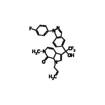 C=CCN1C=C(C(O)(c2ccc3c(cnn3-c3ccc(F)cc3)c2)C(F)(F)F)C2C=CN(C)C(=O)C21